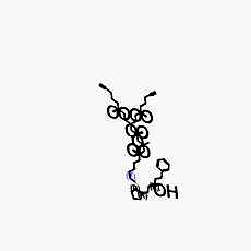 C#CCCCC(=O)OCC(COC(=O)CCCC#C)OC(=O)OC(C)OC(=O)CCC/C=C\C[C@H]1CCC[C@@H]1CC[C@@H](O)CCc1ccccc1